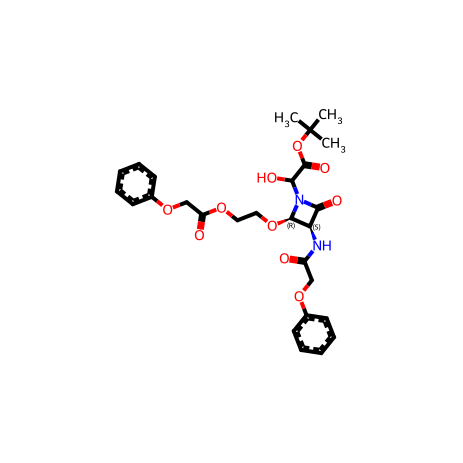 CC(C)(C)OC(=O)C(O)N1C(=O)[C@@H](NC(=O)COc2ccccc2)[C@H]1OCCOC(=O)COc1ccccc1